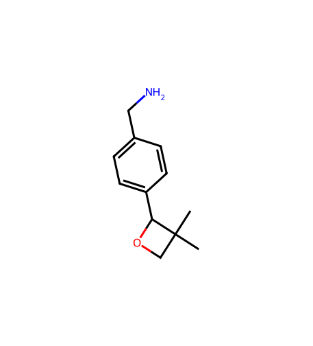 CC1(C)COC1c1ccc(CN)cc1